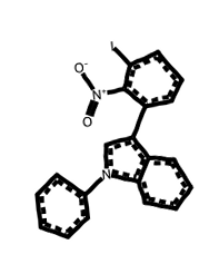 O=[N+]([O-])c1c(I)cccc1-c1cn(-c2ccccc2)c2ccccc12